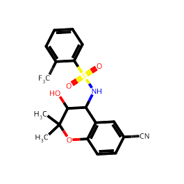 CC1(C)Oc2ccc(C#N)cc2C(NS(=O)(=O)c2ccccc2C(F)(F)F)C1O